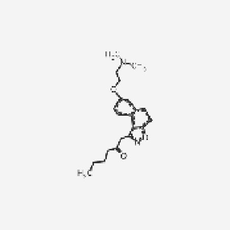 CCCCC(=O)Cc1noc2ccc3cc(OCCN(C)C)ccc3c12